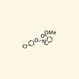 COC(=O)c1cccc2ccn(CCOc3ccc(Cl)cc3)c12